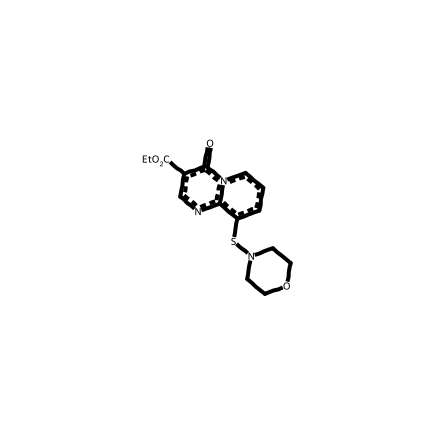 CCOC(=O)c1cnc2c(SN3CCOCC3)cccn2c1=O